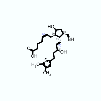 B=C[C@@H]1CC(O)[C@H](C/C=C\CCCC(=O)O)[C@H]1/C=C/[C@@H](O)CCc1cc(C)c(C)s1